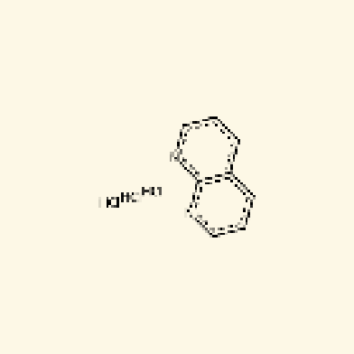 Cl.Cl.Cl.c1cnc2ncccc2c1